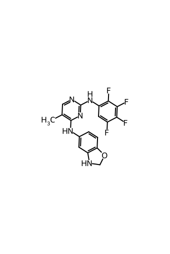 Cc1cnc(Nc2cc(F)c(F)c(F)c2F)nc1Nc1ccc2c(c1)NCO2